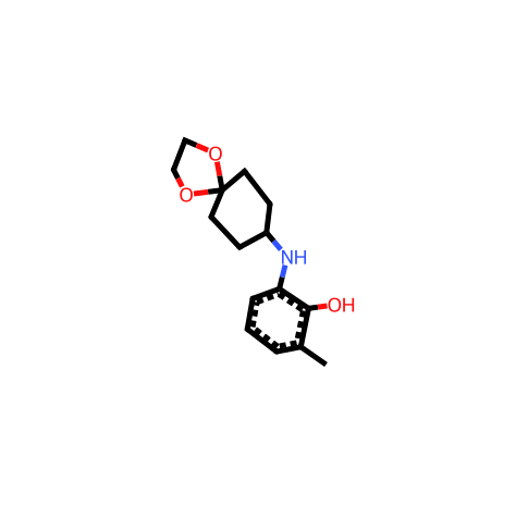 Cc1cccc(NC2CCC3(CC2)OCCO3)c1O